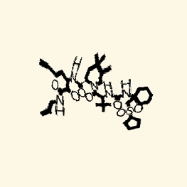 C#CCCC(NC(=O)[C@@H]1CC(C)(C)C(C)CN1C(=O)[C@@H](NC(=O)NC1(CS(=O)(=O)C2CCCC2)CCCCC1)C(C)(C)C)C(=O)C(=O)NCC=C